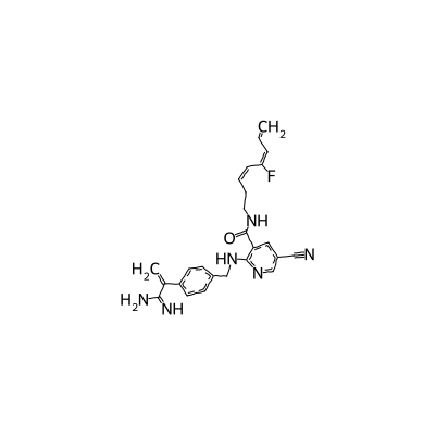 C=C/C=C(F)\C=C/CCNC(=O)c1cc(C#N)cnc1NCc1ccc(C(=C)C(=N)N)cc1